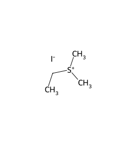 CC[S+](C)C.[I-]